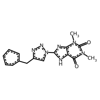 Cn1c(=O)c2[nH]c(-n3cc(Cc4ccccc4)nn3)nc2n(C)c1=O